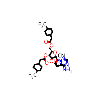 N#C[C@@]1(c2ccc3c(N)ncnn23)O[C@H](COC(=O)CC2CCC(C(F)(F)F)CC2)[C@@H](OC(=O)CC2CCC(C(F)(F)F)CC2)[C@H]1O